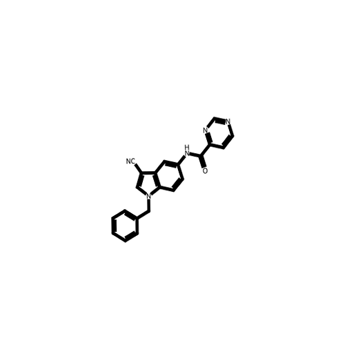 N#Cc1cn(Cc2ccccc2)c2ccc(NC(=O)c3ccncn3)cc12